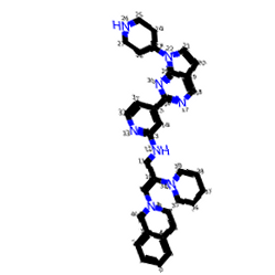 c1ccc2c(c1)CCN(CC(CNc1cc(-c3ncc4ccn(C5CCNCC5)c4n3)ccn1)N1CCCCC1)C2